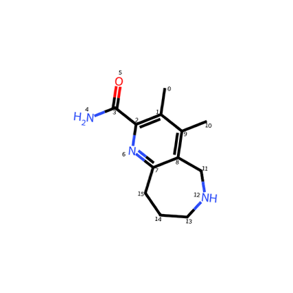 Cc1c(C(N)=O)nc2c(c1C)CNCCC2